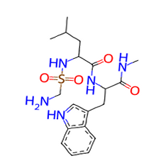 CNC(=O)C(Cc1c[nH]c2ccccc12)NC(=O)C(CC(C)C)NS(=O)(=O)CN